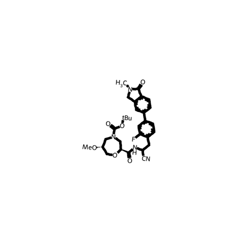 CO[C@H]1CO[C@H](C(=O)NC(C#N)Cc2ccc(-c3ccc4c(c3)CN(C)C4=O)cc2F)CN(C(=O)OC(C)(C)C)C1